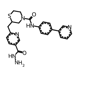 NNC(=O)c1ccc(CC2CN(C(=O)Nc3ccc(-c4cccnc4)cc3)CCS2)nc1